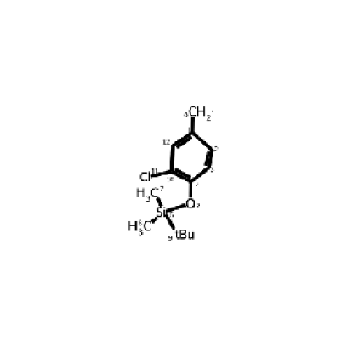 [CH2]c1ccc(O[Si](C)(C)C(C)(C)C)c(Cl)c1